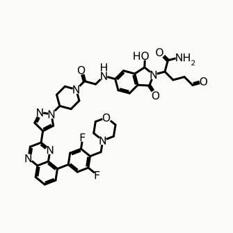 NC(=O)C(CCC=O)N1C(=O)c2ccc(NCC(=O)N3CCC(n4cc(-c5cnc6cccc(-c7cc(F)c(CN8CCOCC8)c(F)c7)c6n5)cn4)CC3)cc2C1O